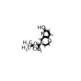 CC(C)(C)OC(=O)N1CCOc2ccc(O)nc2C1